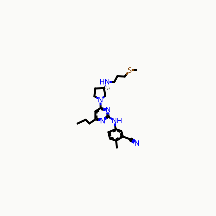 CCCc1cc(N2CC[C@H](NCCCSC)C2)nc(Nc2ccc(C)c(C#N)c2)n1